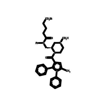 CCOC(=O)CCCC(=O)N(C[C@@H]1CN(C(=O)O)CCN1C(=O)c1cc(C)n(-c2ccccc2)c1-c1ccccc1)C(C)C